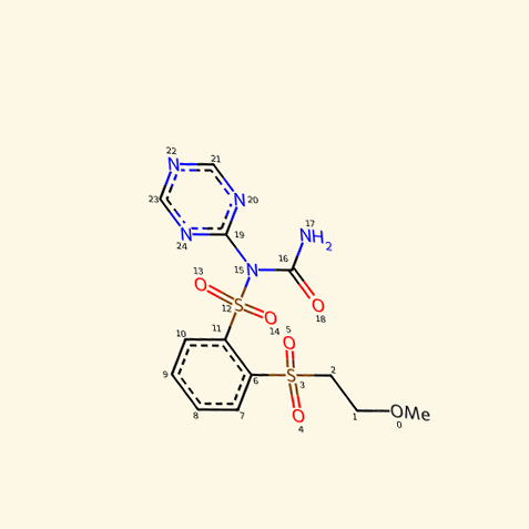 COCCS(=O)(=O)c1ccccc1S(=O)(=O)N(C(N)=O)c1ncncn1